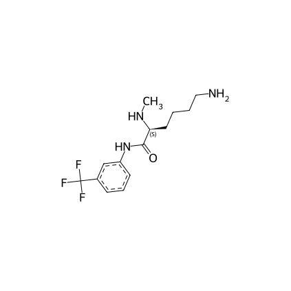 CN[C@@H](CCCCN)C(=O)Nc1cccc(C(F)(F)F)c1